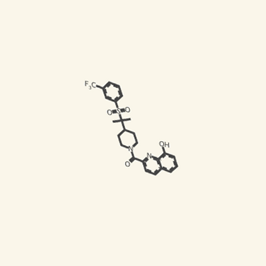 CC(C)(C1CCN(C(=O)c2ccc3cccc(O)c3n2)CC1)S(=O)(=O)c1cccc(C(F)(F)F)c1